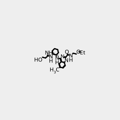 CCOCCNC(=O)c1nc(N[C@H]2CCCC[C@H]2NC(=N)CCO)c2cc(C)ccc2n1